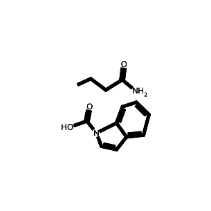 CCCC(N)=O.O=C(O)n1ccc2ccccc21